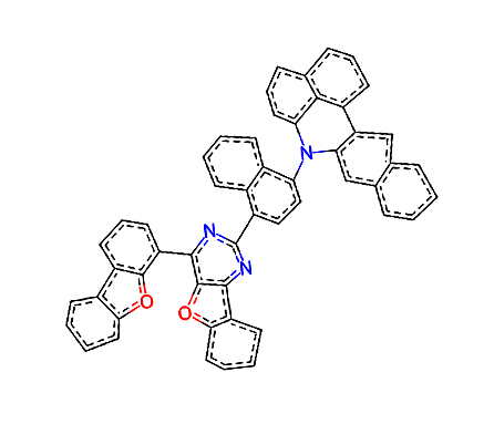 c1ccc2cc3c(cc2c1)-c1cccc2cccc(c12)N3c1ccc(-c2nc(-c3cccc4c3oc3ccccc34)c3oc4ccccc4c3n2)c2ccccc12